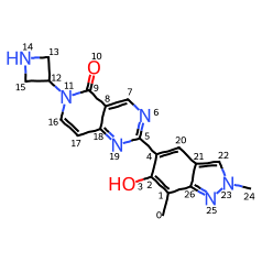 Cc1c(O)c(-c2ncc3c(=O)n(C4CNC4)ccc3n2)cc2cn(C)nc12